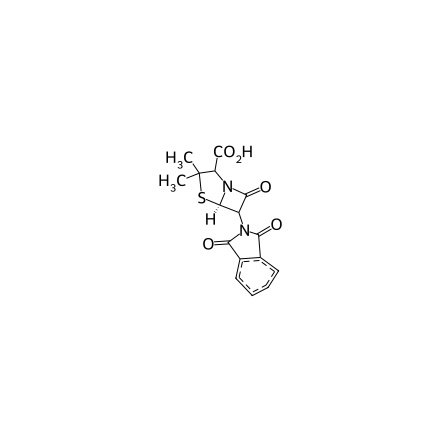 CC1(C)S[C@@H]2C(N3C(=O)c4ccccc4C3=O)C(=O)N2C1C(=O)O